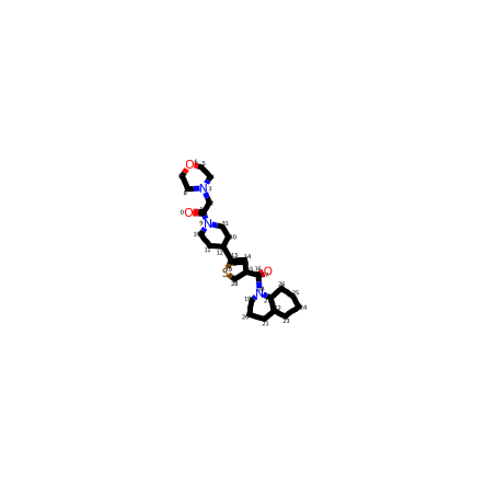 O=C(CN1CCOCC1)N1CCC(C2=CC(C(=O)N3CCCC4CCCCC43)CS2)CC1